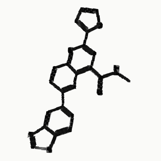 CNC(=O)c1cc(-c2ccco2)nc2ccc(-c3ccc4scnc4c3)cc12